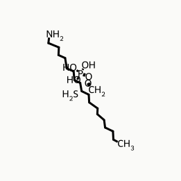 C=O.CCCCCCCCCCCCCCCCCCN.O=P(O)(O)O.S